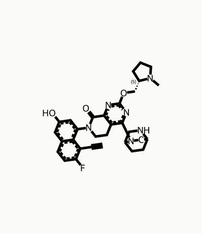 C#Cc1c(F)ccc2cc(O)cc(N3CCc4c(nc(OC[C@@H]5CCCN5C)nc4N4CC5CCC4CN5)C3=O)c12